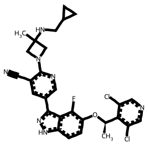 C[C@@H](Oc1ccc2[nH]nc(-c3cnc(N4CC(C)(NCC5CC5)C4)c(C#N)c3)c2c1F)c1c(Cl)cncc1Cl